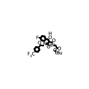 CC(C)(C)OC(=O)CNC(=O)c1c(O)c2ccc(F)c3c2n(c1=O)CC(c1ccc(C(F)(F)F)cc1)O3